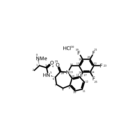 CN[C@@H](C)C(=O)N[C@H]1CCc2ccccc2N(Cc2c(F)c(F)c(F)c(F)c2F)C1=O.Cl